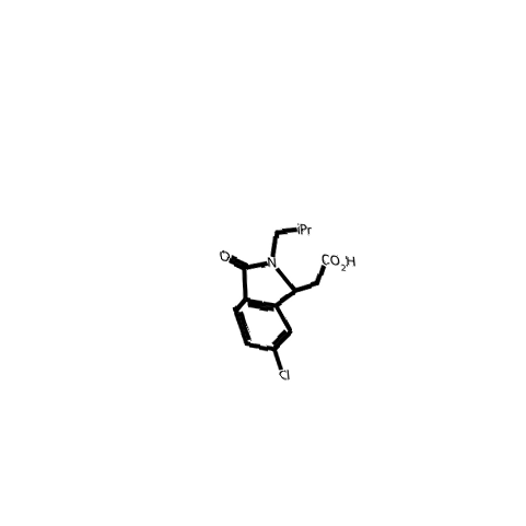 CC(C)CN1C(=O)c2ccc(Cl)cc2C1CC(=O)O